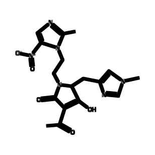 CC(=O)C1=C(O)C(Cc2cn(C)cn2)N(CCn2c([N+](=O)[O-])cnc2C)C1=O